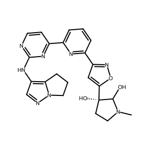 CN1CC[C@@](O)(c2cc(-c3cccc(-c4ccnc(Nc5cnn6c5CCC6)n4)n3)no2)C1O